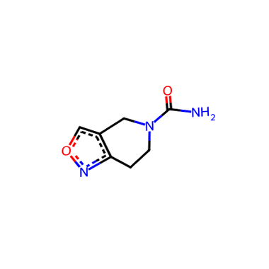 NC(=O)N1CCc2nocc2C1